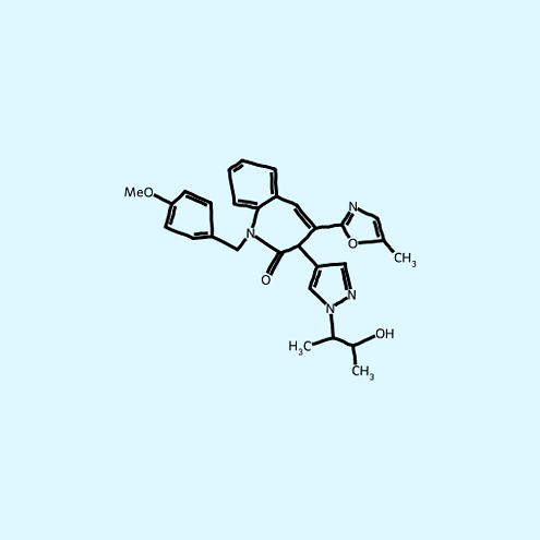 COc1ccc(CN2C(=O)C(c3cnn(C(C)C(C)O)c3)C(c3ncc(C)o3)=Cc3ccccc32)cc1